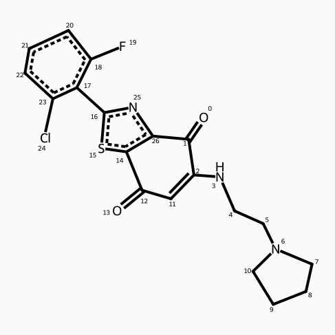 O=C1C(NCCN2CCCC2)=CC(=O)c2sc(-c3c(F)cccc3Cl)nc21